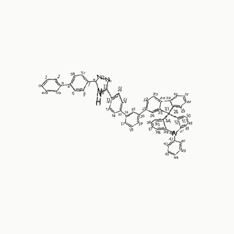 c1ccc(-c2ccc(C3N=NC(c4ccc(-c5cccc(-c6ccc7c(c6)C6(c8ccccc8-7)c7ccccc7N(c7ccccc7)c7ccccc76)c5)cc4)N3)cc2)cc1